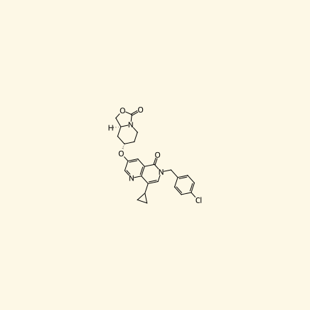 O=C1OC[C@@H]2C[C@@H](Oc3cnc4c(C5CC5)cn(Cc5ccc(Cl)cc5)c(=O)c4c3)CCN12